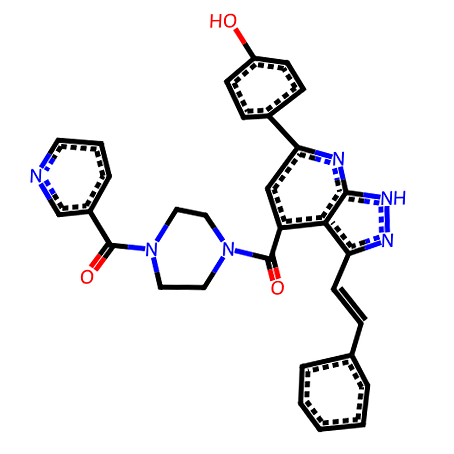 O=C(c1cccnc1)N1CCN(C(=O)c2cc(-c3ccc(O)cc3)nc3[nH]nc(C=Cc4ccccc4)c23)CC1